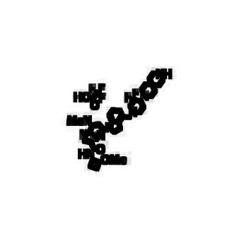 CNc1cc(N2CCc3c(CN4CC[C@@H](N5CCC6(CCNCC6)CC5)C(F)(F)C4)cccc32)nn2c(C(=O)N[C@@H]3CC[C@H]3OC)cnc12.O=C(O)C(F)(F)F